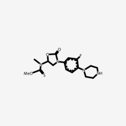 COC(=S)N(C)C1CN(c2ccc(N3CCNCC3)c(F)c2)C(=O)O1